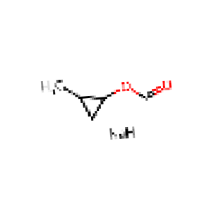 CC1CC1OC=O.[NaH]